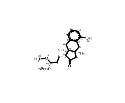 CCCCC[C@@H](CC[C@H]1C(=O)C[C@@H]2Cc3c(O)cccc3C[C@@H]21)OP